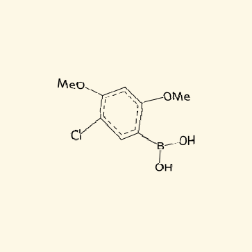 COc1cc(OC)c(B(O)O)cc1Cl